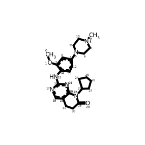 COc1cc(N2CCN(C)CC2)ccc1Nc1ncc2c(n1)N(C1CCCC1)C(=O)CC2